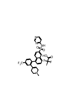 CN1CC=C(c2cc(C(F)(F)F)ccc2-c2cccc3cc(S(=O)(=O)Nc4ccncn4)ccc23)CC1.O=C(O)C(F)(F)F